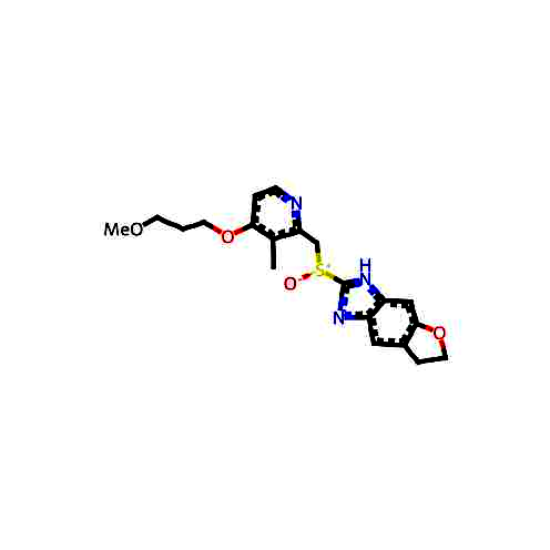 COCCCOc1ccnc(C[S@+]([O-])c2nc3cc4c(cc3[nH]2)OCC4)c1C